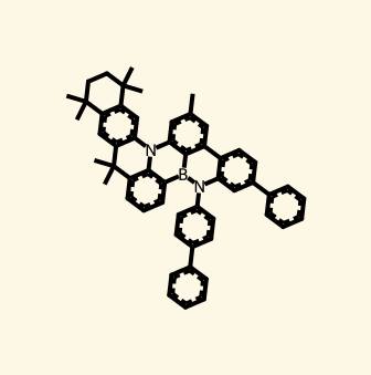 Cc1cc2c3c(c1)N1c4cc5c(cc4C(C)(C)c4cccc(c41)B3N(c1ccc(-c3ccccc3)cc1)c1cc(-c3ccccc3)ccc1-2)C(C)(C)CCC5(C)C